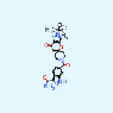 CC(C)(C)n1cc2c(n1)C(=O)CC1(CCN(C(=O)c3ccc4c(C(N)=O)n[nH]c4c3)CC1)O2